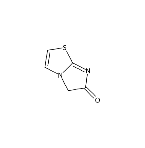 O=C1CN2C=CSC2=N1